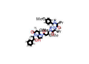 CC[C@H](C)[C@@H]([C@@H](CC(=O)N1CCC[C@H]1[C@H](OC)[C@@H](C)C(=O)N[C@H](C)[C@@H](O)c1ccccc1)OC)N(C)C(=O)[C@@H](NC(=O)[C@H](C(C)C)N(C)Cc1ccc(OC)cc1)C(C)C